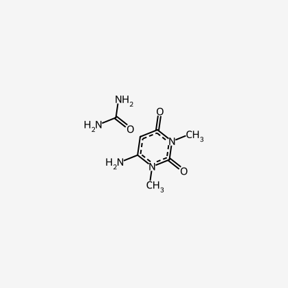 Cn1c(N)cc(=O)n(C)c1=O.NC(N)=O